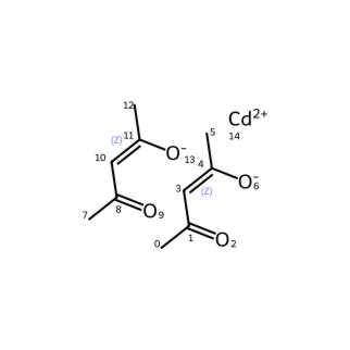 CC(=O)/C=C(/C)[O-].CC(=O)/C=C(/C)[O-].[Cd+2]